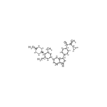 Cc1cc(-c2cnc3[nH]cc(-c4ccc(C(=O)N(C)C5CC5)cc4)c3c2)cc(C)c1N1CCN(C)CC1